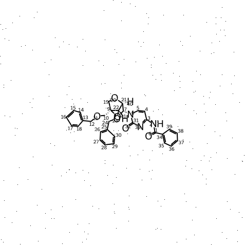 O=C(Nc1ccn([C@@H]2O[C@@]3(COCc4ccccc4)CO[C@@H]2[C@@H]3OCc2ccccc2)c(=O)n1)c1ccccc1